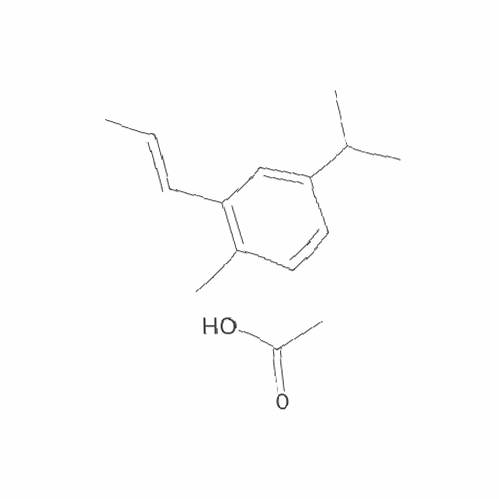 CC(=O)O.CC=Cc1cc(C(C)C)ccc1C